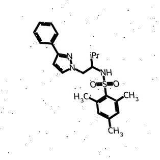 Cc1cc(C)c(S(=O)(=O)NC(Cn2ccc(-c3ccccc3)n2)C(C)C)c(C)c1